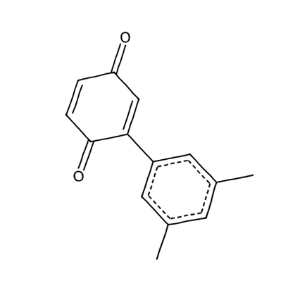 Cc1cc(C)cc(C2=CC(=O)C=CC2=O)c1